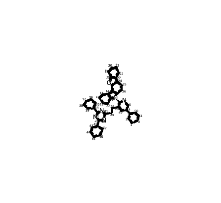 c1ccc(-c2cnc(-n3c4ccccc4c4c5oc6ccccc6c5ccc43)c(CCc3nc(-c4ccccc4)nc(-c4ccccc4)n3)c2)cc1